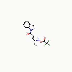 CCC(C=CC(=O)N1CCc2ccccc21)NOC(=O)C(F)(F)F